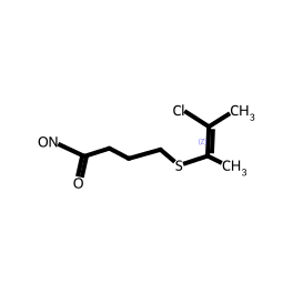 C/C(Cl)=C(\C)SCCCC(=O)N=O